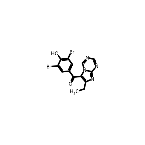 CCc1nc2ncncn2c1C(=O)c1cc(Br)c(O)c(Br)c1